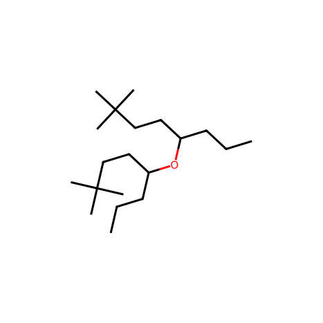 CCCC(CCC(C)(C)C)OC(CCC)CCC(C)(C)C